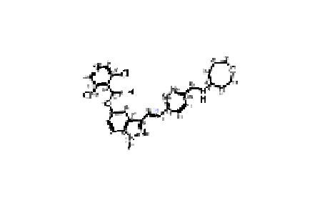 CC(Oc1ccc2[nH]nc(/C=C/c3ccc(CNC4CCCOCC4)nn3)c2c1)c1c(Cl)cncc1Cl